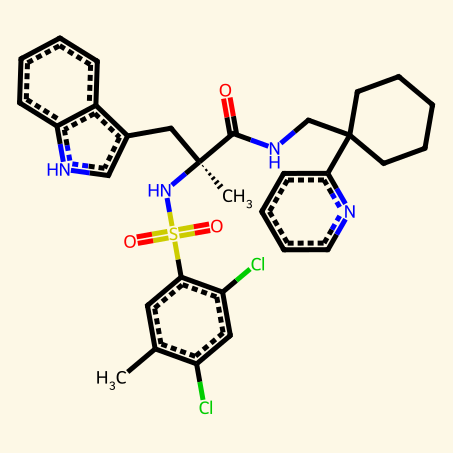 Cc1cc(S(=O)(=O)N[C@@](C)(Cc2c[nH]c3ccccc23)C(=O)NCC2(c3ccccn3)CCCCC2)c(Cl)cc1Cl